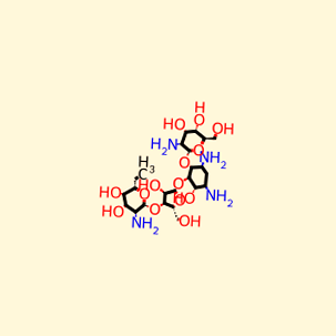 CC[C@@H]1O[C@H](O[C@H]2[C@@H](O)[C@H](O[C@@H]3[C@@H](O)[C@H](N)C[C@H](N)[C@H]3O[C@H]3O[C@H](CO)[C@@H](O)[C@H](O)[C@H]3N)O[C@@H]2CO)[C@H](N)[C@@H](O)[C@@H]1O